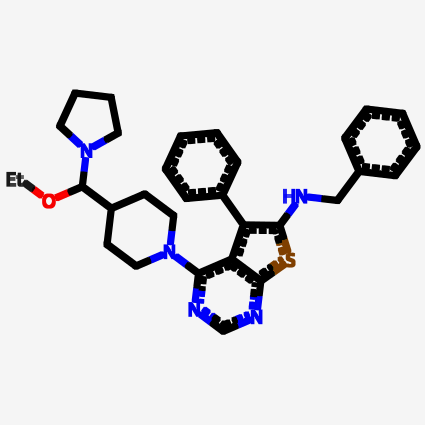 CCOC(C1CCN(c2ncnc3sc(NCc4ccccc4)c(-c4ccccc4)c23)CC1)N1CCCC1